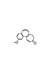 COc1ccc2c(c1)C1=C(C=C=C2)CCC(=O)C=C1